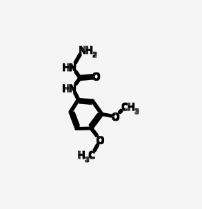 COc1ccc(NC(=O)NN)cc1OC